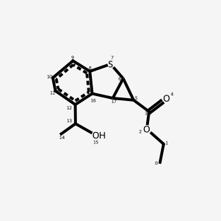 CCOC(=O)C1C2Sc3cccc(C(C)O)c3C21